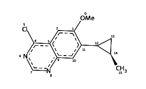 COc1cc2c(Cl)ncnc2cc1C1C[C@H]1C